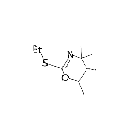 CCSC1=NC(C)(C)C(C)C(C)O1